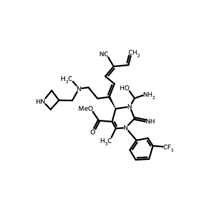 C=C/C(C#N)=C\C=C(/CCN(C)CC1CNC1)[C@@H]1C(C(=O)OC)=C(C)N(c2cccc(C(F)(F)F)c2)C(=N)N1C(N)O